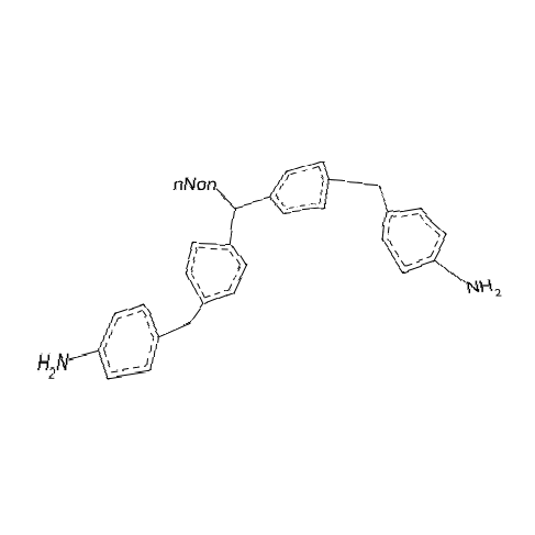 CCCCCCCCCC(c1ccc(Cc2ccc(N)cc2)cc1)c1ccc(Cc2ccc(N)cc2)cc1